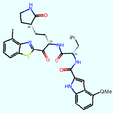 COc1cccc2[nH]c(C(=O)N[C@@H](CC(C)C)C(=O)N[C@@H](CC[C@@H]3CCNC3=O)C(=O)c3nc4c(C)cccc4s3)cc12